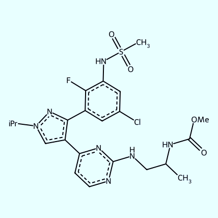 COC(=O)NC(C)CNc1nccc(-c2cn(C(C)C)nc2-c2cc(Cl)cc(NS(C)(=O)=O)c2F)n1